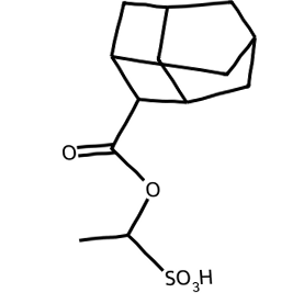 CC(OC(=O)C1C2CC3CC(C2)CC1C3)S(=O)(=O)O